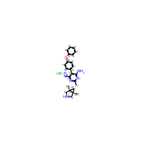 Cl.Nc1nc(C[C@@H]2[C@@H]3CNC[C@@H]32)nc(N)c1-c1ccc(Oc2ccccc2)cc1